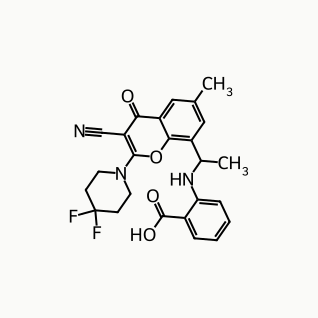 Cc1cc(C(C)Nc2ccccc2C(=O)O)c2oc(N3CCC(F)(F)CC3)c(C#N)c(=O)c2c1